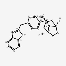 CC(=O)N[C@H]1C[C@H]2CC[C@@H](C1)N2Cc1ccc(Cc2nc3ncccc3s2)cc1